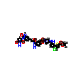 Cn1c(=O)n(C2CCC(=O)NC2=O)c2ccc(CCC(=O)Nc3cccc(CS(=O)(=O)N4CCC(Nc5cccc(-c6sc(C(=O)OC(C)(C)C)cc6Cl)c5)CC4)c3)cc21